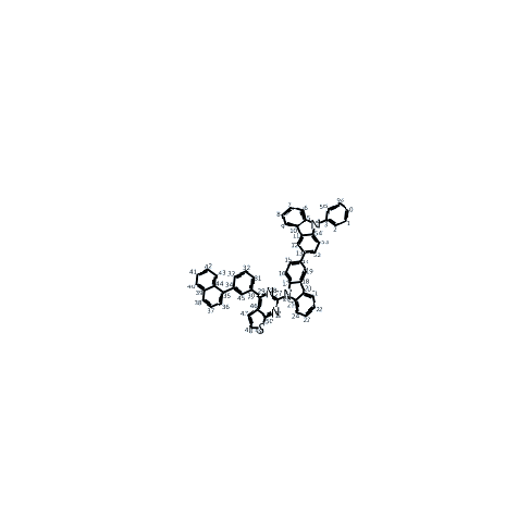 c1ccc(-n2c3ccccc3c3cc(-c4ccc5c(c4)c4ccccc4n5-c4nc(-c5cccc(-c6cccc7ccccc67)c5)c5ccsc5n4)ccc32)cc1